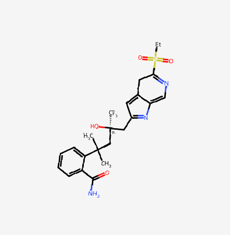 CCS(=O)(=O)C1=NC=C2N=C(C[C@](O)(CC(C)(C)c3ccccc3C(N)=O)C(F)(F)F)C=C2C1